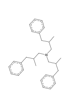 CC(Cc1ccccc1)[CH2][Al]([CH2]C(C)Cc1ccccc1)[CH2]C(C)Cc1ccccc1